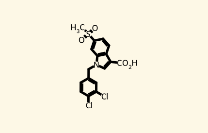 CS(=O)(=O)c1ccc2c(C(=O)O)cn(Cc3ccc(Cl)c(Cl)c3)c2c1